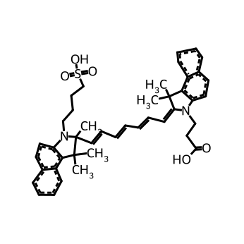 CC1(C)\C(=C/C=C/C=C/C=C/C2(C)N(CCCCS(=O)(=O)O)c3ccc4ccccc4c3C2(C)C)N(CCC(=O)O)c2ccc3ccccc3c21